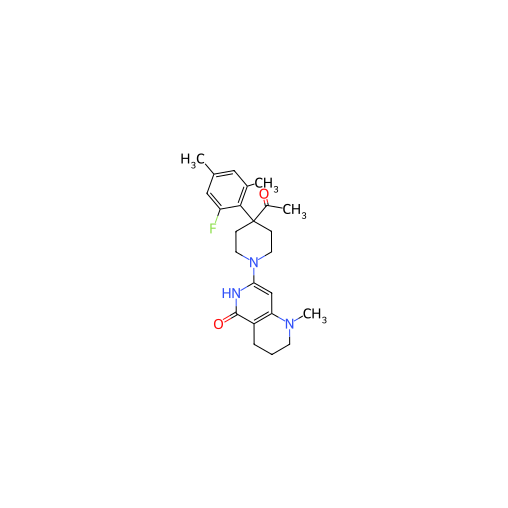 CC(=O)C1(c2c(C)cc(C)cc2F)CCN(c2cc3c(c(=O)[nH]2)CCCN3C)CC1